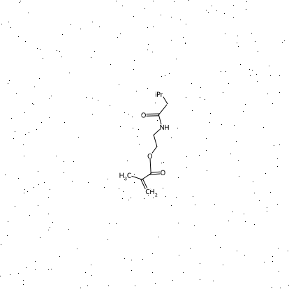 C=C(C)C(=O)OCCNC(=O)CC(C)C